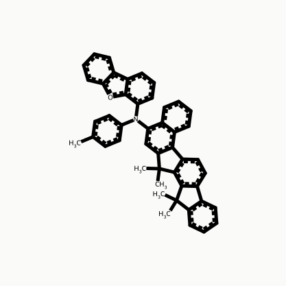 Cc1ccc(N(c2cc3c(c4ccccc24)-c2ccc4c(c2C3(C)C)C(C)(C)c2ccccc2-4)c2cccc3c2oc2ccccc23)cc1